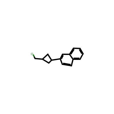 ClCC1CC(c2ccc3ccccc3c2)C1